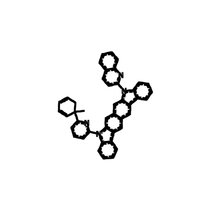 CC1(c2cccc(-n3c4ccccc4c4cc5cc6c7ccccc7n(-c7ccc8ccccc8n7)c6cc5cc43)n2)C=CC=CC1